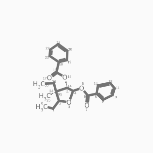 CCC1OC(OC(=O)c2ccccc2)[C@@H](OC(=O)c2ccccc2)[C@]1(C)CC